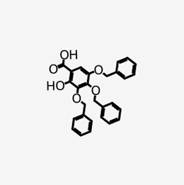 O=C(O)c1cc(OCc2ccccc2)c(OCc2ccccc2)c(OCc2ccccc2)c1O